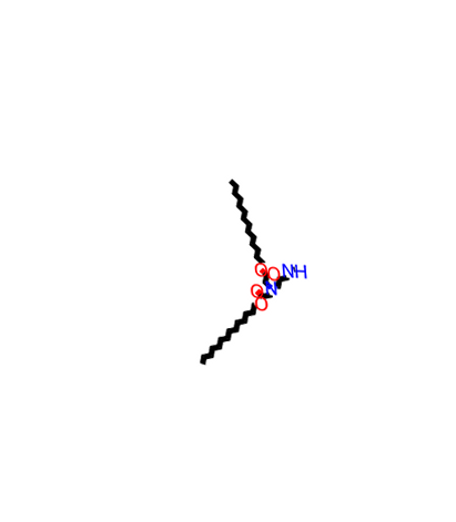 CCCCCCCCCCCCCCOC(=O)CN(CCCNC)CC(=O)OCCCCCCCCCCCCCC